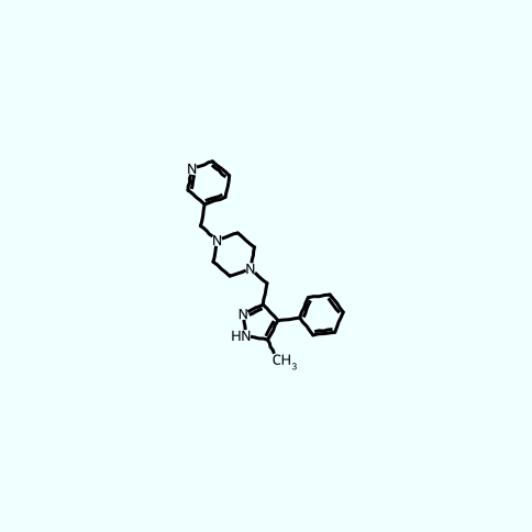 Cc1[nH]nc(CN2CCN(Cc3cccnc3)CC2)c1-c1ccccc1